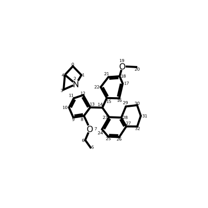 C1CN2CC12.CCOc1ccccc1C(c1ccc(OC)cc1)c1cccc2c1CCCC2